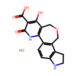 Cl.O=C(O)c1c(O)c2c([nH]c1=O)-c1ccc3c(c1COC2)CCN3